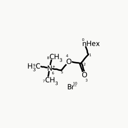 CCCCCCCC(=O)OC[N+](C)(C)C.[Br-]